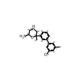 Cc1cc(Cl)cc(-c2cccc(C3(C)CNCC(N)O3)c2)c1